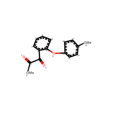 COC(=O)C(=O)c1ccccc1Oc1ccc(OC)cc1